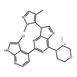 Cc1cnn(C)c1-n1cnc2c(N3CCOC[C@H]3C)nc(-c3ccnc4[nH]cc(Cl)c34)nc21